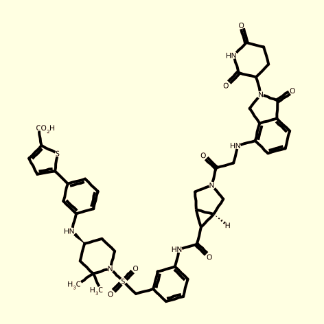 CC1(C)C[C@@H](Nc2cccc(-c3ccc(C(=O)O)s3)c2)CCN1S(=O)(=O)Cc1cccc(NC(=O)C2C3CN(C(=O)CNc4cccc5c4CN(C4CCC(=O)NC4=O)C5=O)C[C@H]32)c1